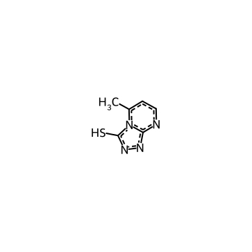 Cc1ccnc2nnc(S)n12